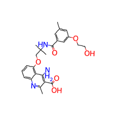 Cc1cc(OCCO)cc(C(=O)NC(C)(C)COc2cccc3nc(C)c(C(=O)O)c(N)c23)c1